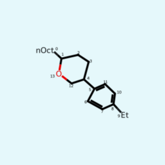 CCCCCCCCC1CCC(c2ccc(CC)cc2)CO1